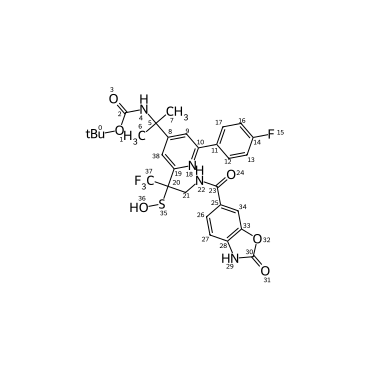 CC(C)(C)OC(=O)NC(C)(C)c1cc(-c2ccc(F)cc2)nc(C(CNC(=O)c2ccc3[nH]c(=O)oc3c2)(SO)C(F)(F)F)c1